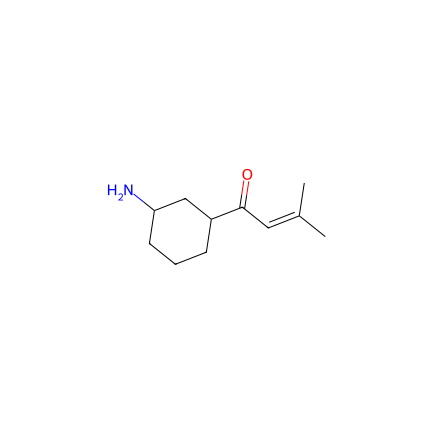 CC(C)=CC(=O)C1CCCC(N)C1